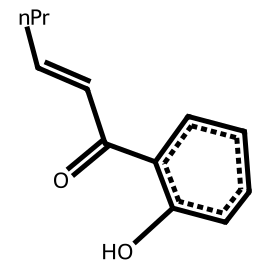 CCCC=CC(=O)c1ccccc1O